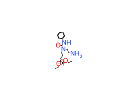 CCO[Si](C)(CCCN(CCN)C(=O)Nc1ccccc1)OCC